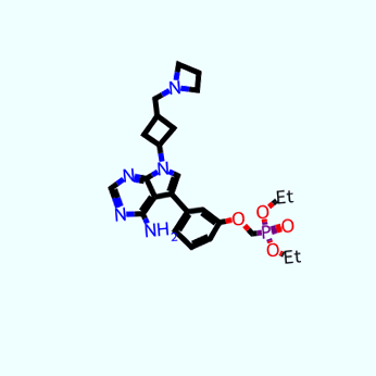 CCOP(=O)(COc1cccc(-c2cn(C3CC(CN4CCC4)C3)c3ncnc(N)c23)c1)OCC